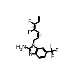 C=C/C(F)=C(F)\C=C/Cn1c(N)nc2ccc(C(F)(F)I)cc21